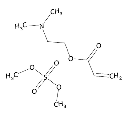 C=CC(=O)OCCN(C)C.COS(=O)(=O)OC